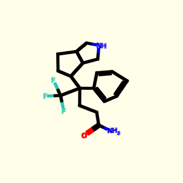 NC(=O)CCC(c1ccccc1)(C1CCC2CNCC21)C(F)(F)F